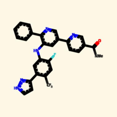 CNC(=O)c1ccc(-c2cnc(-c3ccccc3)c(Nc3cc(-c4cc[nH]n4)c(C(F)(F)F)cc3F)c2)nc1